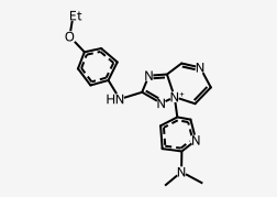 CCOc1ccc(NC2=N[N+]3(c4ccc(N(C)C)nc4)C=CN=CC3=N2)cc1